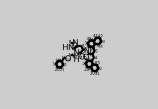 O=C(NC(Cc1c[nH]cn1)C(=O)NCCOCc1ccccc1)C(Cc1cccc2ccccc12)Cc1cccc2ccccc12